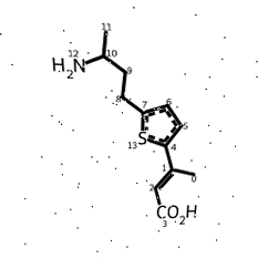 C/C(=C\C(=O)O)c1ccc(CCC(C)N)s1